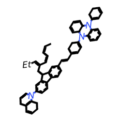 C\C=C/C=C\C(=C\CC)CC1c2cc(/C=C/C3=CC=C(N4c5ccccc5N(C5=CC=CCC5)C5C=CC=CC54)CC3)ccc2-c2ccc(N3C=CCC4=C3CCC=C4)cc21